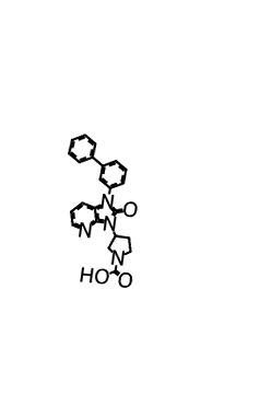 O=C(O)N1CCC(n2c(=O)n(-c3cccc(-c4ccccc4)c3)c3cccnc32)C1